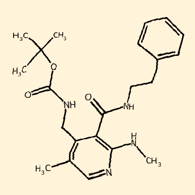 CNc1ncc(C)c(CNC(=O)OC(C)(C)C)c1C(=O)NCCc1ccccc1